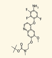 COc1cc2c(Oc3c(F)cc(N)c(F)c3F)ccnc2cc1OCCN(C)C(=O)OC(C)(C)C